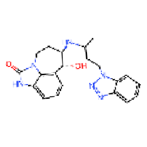 CC(CCn1nnc2ccccc21)N[C@@H]1CCn2c(=O)[nH]c3cccc(c32)[C@H]1O